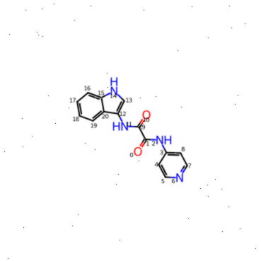 O=C(Nc1ccncc1)C(=O)Nc1c[nH]c2ccccc12